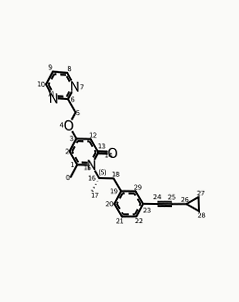 Cc1cc(OCc2ncccn2)cc(=O)n1[C@@H](C)Cc1cccc(C#CC2CC2)c1